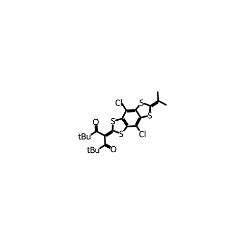 CC(C)=C1Sc2c(Cl)c3c(c(Cl)c2S1)SC(=C(C(=O)C(C)(C)C)C(=O)C(C)(C)C)S3